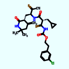 C=C1CC(C)(C)NC(=O)[C@@H]1C[C@H](NC(=O)[C@H](CC1CC1)C(=S)NC(=O)OCCc1cccc(Cl)c1)C(=S)C#N